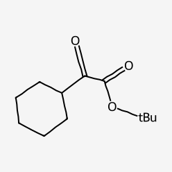 CC(C)(C)OC(=O)C(=O)C1CCCCC1